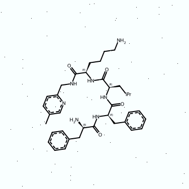 Cc1ccc(CNC(=O)[C@@H](CCCCN)NC(=O)[C@@H](CC(C)C)NC(=O)[C@@H](Cc2ccccc2)NC(=O)[C@H](N)Cc2ccccc2)nc1